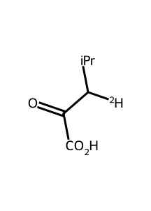 [2H]C(C(=O)C(=O)O)C(C)C